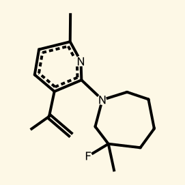 C=C(C)c1ccc(C)nc1N1CCCCC(C)(F)C1